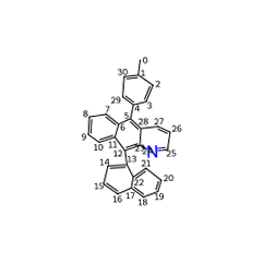 Cc1ccc(-c2c3ccccc3c(-c3cccc4ccccc34)c3ncccc23)cc1